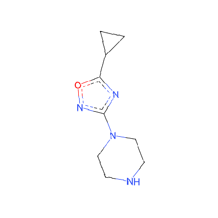 C1CN(c2noc(C3CC3)n2)CCN1